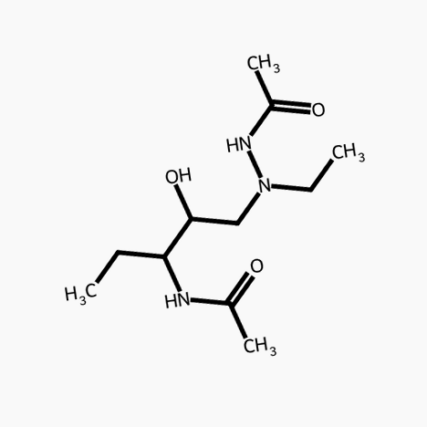 CCC(NC(C)=O)C(O)CN(CC)NC(C)=O